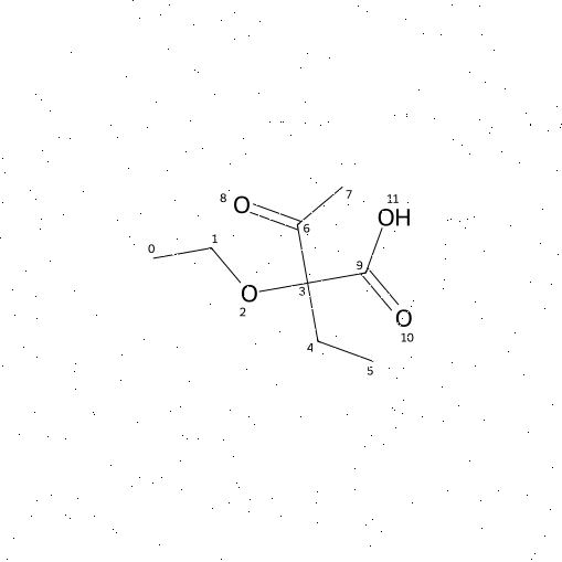 CCOC(CC)(C(C)=O)C(=O)O